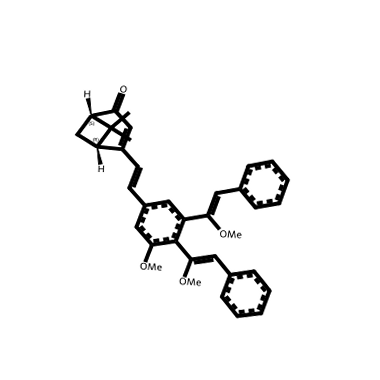 COC(=Cc1ccccc1)c1cc(C=CC2=CC(=O)[C@H]3C[C@@H]2C3(C)C)cc(OC)c1C(=Cc1ccccc1)OC